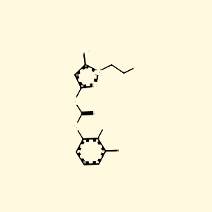 CC(C)(C)c1cc(NC(=O)Nc2cccc(Cl)c2Cl)nn1CCO